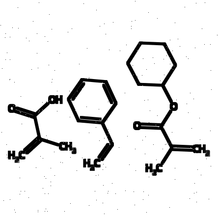 C=C(C)C(=O)O.C=C(C)C(=O)OC1CCCCC1.C=Cc1ccccc1